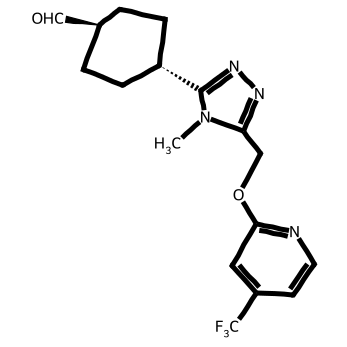 Cn1c(COc2cc(C(F)(F)F)ccn2)nnc1[C@H]1CC[C@H](C=O)CC1